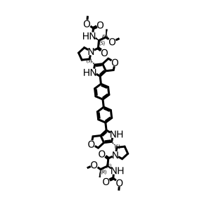 COC(=O)N[C@H](C(=O)N1CCC[C@H]1c1[nH]c(-c2ccc(-c3ccc(-c4[nH]c([C@@H]5CCCN5C(=O)[C@@H](NC(=O)OC)[C@@H](C)OC)c5c4COC5)cc3)cc2)c2c1COC2)[C@@H](C)OC